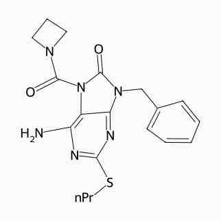 CCCSc1nc(N)c2c(n1)n(Cc1ccccc1)c(=O)n2C(=O)N1CCC1